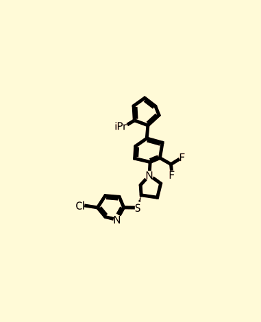 CC(C)c1ccccc1-c1ccc(N2CC[C@H](Sc3ccc(Cl)cn3)C2)c(C(F)F)c1